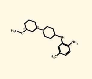 CO[C@H]1CCC[C@@H](N2CCC(Nc3cc(C)ccc3N)CC2)C1